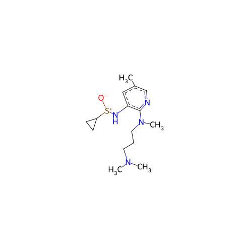 Cc1cnc(N(C)CCCN(C)C)c(N[S+]([O-])C2CC2)c1